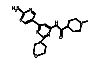 CN1CCC(C(=O)Nc2cc(-c3cnc(N)nc3)nc(N3CCOCC3)n2)CC1